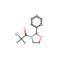 CCC(C)(C)C(=O)N1CCOC1c1ccccc1